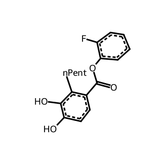 CCCCCc1c(C(=O)Oc2ccccc2F)ccc(O)c1O